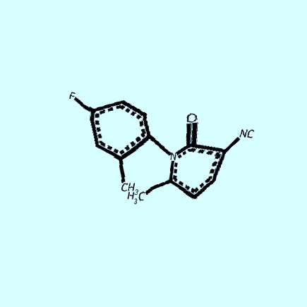 [C-]#[N+]c1ccc(C)n(-c2ccc(F)cc2C)c1=O